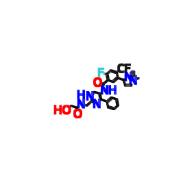 Cn1ccc(-c2cc(C(=O)Nc3cnc(CNC(=O)CO)nc3-c3ccccc3)c(F)cc2C(F)(F)F)n1